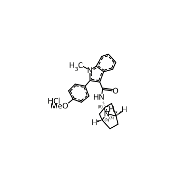 COc1ccc(-c2c(C(=O)N[C@H]3C[C@H]4CC[C@@H](C3)N4C)c3ccccc3n2C)cc1.Cl